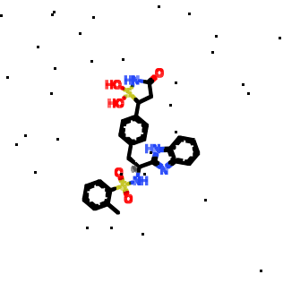 Cc1ccccc1S(=O)(=O)N[C@@H](Cc1ccc(C2CC(=O)NS2(O)O)cc1)c1nc2ccccc2[nH]1